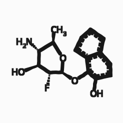 C[C@H]1O[C@@H](Oc2c(O)ccc3ccccc23)[C@H](F)[C@@H](O)[C@@H]1N